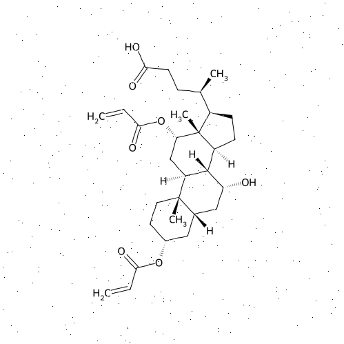 C=CC(=O)O[C@@H]1CC[C@@]2(C)[C@@H](C1)C[C@@H](O)[C@@H]1[C@@H]2C[C@H](OC(=O)C=C)[C@]2(C)[C@@H]([C@H](C)CCC(=O)O)CC[C@@H]12